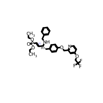 CCOP(=O)(/C=C/[C@@H](Cc1ccc(OCc2cc(OCC(F)(F)F)ccn2)cc1)NCc1ccccc1)OCC